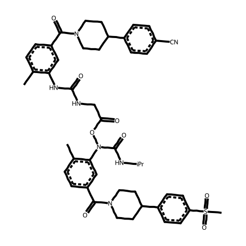 Cc1ccc(C(=O)N2CCC(c3ccc(C#N)cc3)CC2)cc1NC(=O)NCC(=O)ON(C(=O)NC(C)C)c1cc(C(=O)N2CCC(c3ccc(S(C)(=O)=O)cc3)CC2)ccc1C